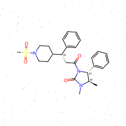 C[C@@H]1[C@@H](c2ccccc2)N(C(=O)C[C@@H](c2ccccc2)C2CCN(S(C)(=O)=O)CC2)C(=O)N1C